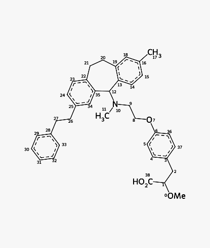 COC(Cc1ccc(OCCN(C)C2c3ccc(C)cc3CCc3ccc(CCc4ccccc4)cc32)cc1)C(=O)O